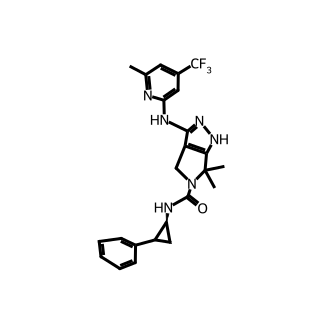 Cc1cc(C(F)(F)F)cc(Nc2n[nH]c3c2CN(C(=O)N[C@H]2CC2c2ccccc2)C3(C)C)n1